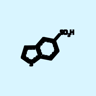 O=S(=O)(O)c1ccc2sccc2c1